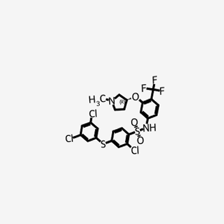 CN1CC[C@@H](Oc2cc(NS(=O)(=O)c3ccc(Sc4cc(Cl)cc(Cl)c4)cc3Cl)ccc2C(F)(F)F)C1